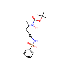 CC(CC#CNS(=O)(=O)c1ccccc1)[NH+]([O-])C(=O)OC(C)(C)C